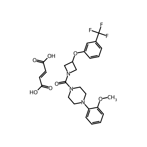 COc1ccccc1N1CCN(C(=O)N2CC(Oc3cccc(C(F)(F)F)c3)C2)CC1.O=C(O)/C=C/C(=O)O